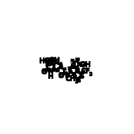 CN(C(=O)Cc1ccc2c(c1)NC(=O)CS2(O)O)[C@H](CN1CCC(O)C1)c1cccc(C(F)(F)F)c1